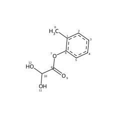 Cc1ccccc1OC(=O)C(O)O